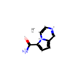 NC(=O)c1ccc2cnccn12.[H+]